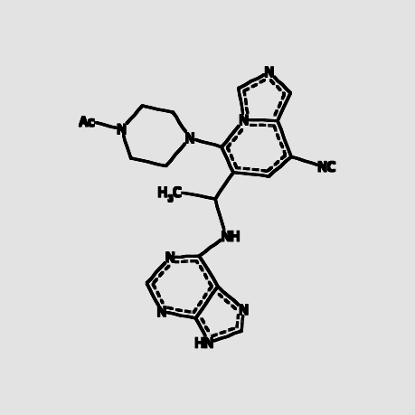 [C-]#[N+]c1cc(C(C)Nc2ncnc3[nH]cnc23)c(N2CCN(C(C)=O)CC2)n2cncc12